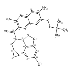 CC(C)(C)[Si](C)(C)OCc1cc2cc(C(=O)N(CC3CC3)C3COc4cc(C(F)(F)F)ccc43)c(F)cc2nc1N